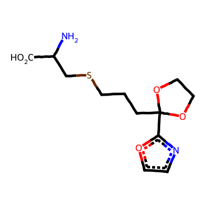 NC(CSCCCC1(c2ncco2)OCCO1)C(=O)O